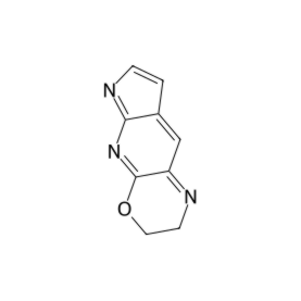 C1=Cc2cc3c(nc2=N1)OCCN=3